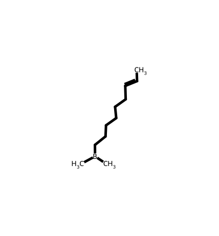 C/C=C/CCCCCCB(C)C